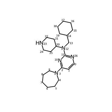 c1cc(N2CCCCCC2)nc(N(CC2CCCCC2)C2CCNCC2)n1